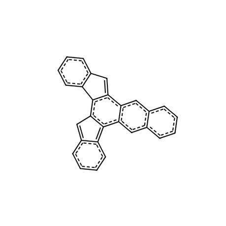 C1=c2ccccc2=c2c1c1c(c3cc4ccccc4cc23)=Cc2ccccc2-1